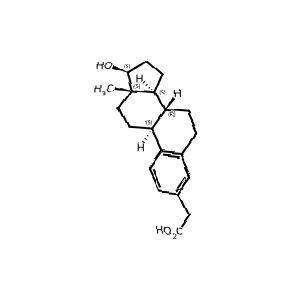 C[C@]12CC[C@@H]3c4ccc(CC(=O)O)cc4CC[C@H]3[C@@H]1CC[C@@H]2O